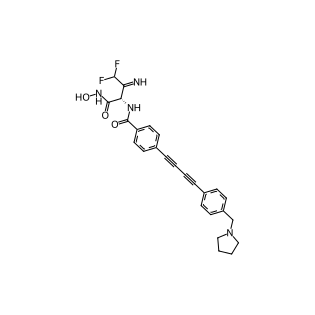 N=C(C(F)F)[C@H](NC(=O)c1ccc(C#CC#Cc2ccc(CN3CCCC3)cc2)cc1)C(=O)NO